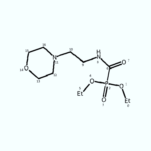 CCOP(=O)(OCC)C(=O)NCCN1CCOCC1